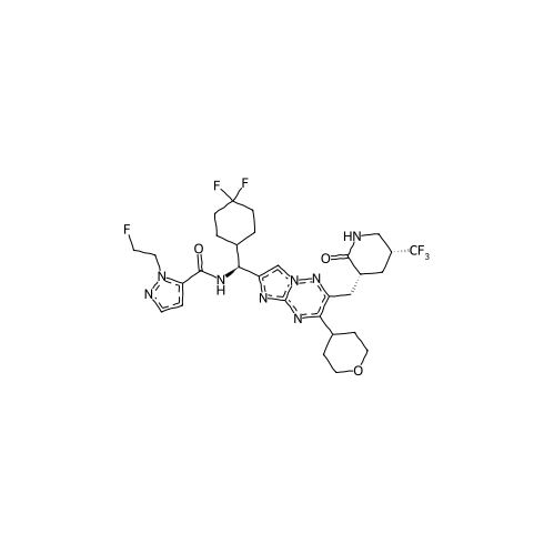 O=C(N[C@H](c1cn2nc(C[C@H]3C[C@@H](C(F)(F)F)CNC3=O)c(C3CCOCC3)nc2n1)C1CCC(F)(F)CC1)c1ccnn1CCF